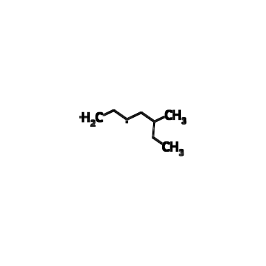 [CH2]C[CH]CC(C)CC